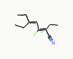 CCC(=C/C(F)=C(/C#N)CC)CC